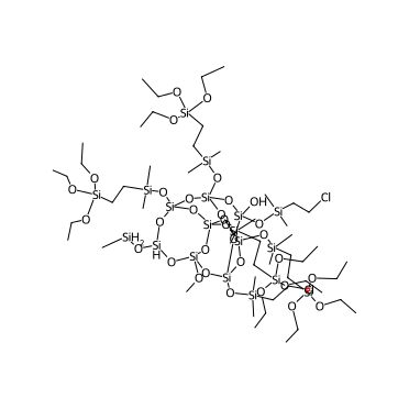 CCO[Si](CC[Si](C)(C)O[Si]12O[SiH](O[SiH2]C)O[Si]3(OC)O[Si]4(O[Si](C)(C)CCCl)O[Si](O)(O[Si](C)(C)CCCl)O[Si](O[Si](C)(C)CC[Si](OCC)(OCC)OCC)(O1)O[Si](O[Si](C)(C)CC[Si](OCC)(OCC)OCC)(O4)O[Si](O[Si](C)(C)CC[Si](OCC)(OCC)OCC)(O3)O2)(OCC)OCC